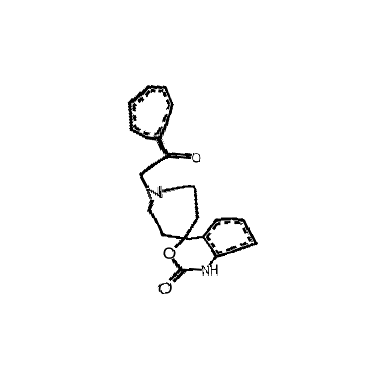 O=C1Nc2ccccc2C2(CCN(CC(=O)c3ccccc3)CC2)O1